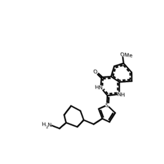 COc1ccc2[nH]c(=S3C=CC(CC4CCCC(CN)C4)=C3)[nH]c(=O)c2c1